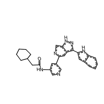 O=C(CC1CCCCC1)Nc1cncc(-c2cc3c(-c4cc5ccccc5[nH]4)n[nH]c3cn2)c1